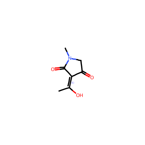 C/C(O)=C1/C(=O)CN(C)C1=O